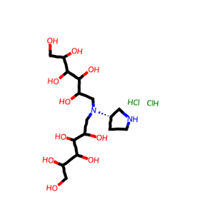 Cl.Cl.OCC(O)C(O)C(O)C(O)CN(CC(O)C(O)C(O)C(O)CO)[C@H]1CCNC1